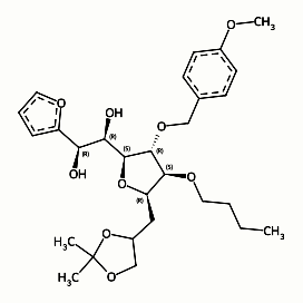 CCCCO[C@@H]1[C@@H](OCc2ccc(OC)cc2)[C@H]([C@H](O)[C@@H](O)c2ccco2)O[C@@H]1CC1COC(C)(C)O1